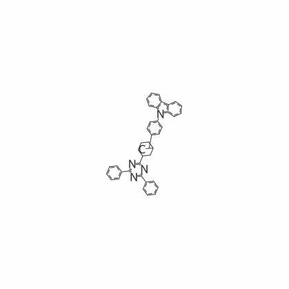 c1ccc(-c2nc(-c3ccccc3)nc(C3CC4CCC3CC4c3ccc(-n4c5ccccc5c5ccccc54)cc3)n2)cc1